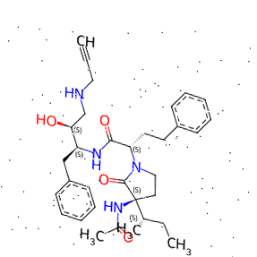 C#CCNC[C@H](O)[C@H](Cc1ccccc1)NC(=O)[C@H](CCc1ccccc1)N1CC[C@](NC(C)=O)([C@@H](C)CC)C1=O